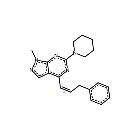 Cn1ncc2c(/C=C\Cc3ccccc3)nc(N3CCCCC3)nc21